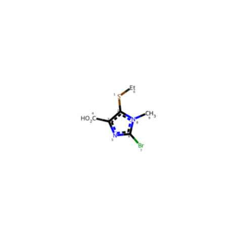 CCSc1c(C(=O)O)nc(Br)n1C